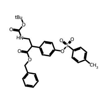 Cc1ccc(S(=O)(=O)Oc2ccc(C(CNC(=O)OC(C)(C)C)C(=O)OCc3ccccc3)cc2)cc1